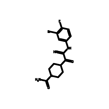 N=C(Nc1ccc(F)c(Br)c1)C(=O)C1CCN(C(N)=O)CC1